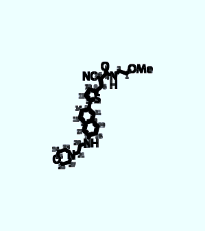 COCCNC(=O)/C(C#N)=C/c1ccc(-c2ccc3cc(NCCN4CCOCC4)ccc3c2)s1